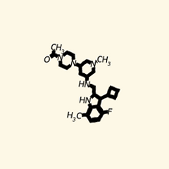 CC(=O)N1CCN(C2CC(NCC3Nc4c(C)ccc(F)c4C3C3CCC3)CN(C)C2)CC1